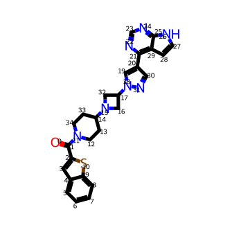 O=C(c1cc2ccccc2s1)N1CCC(N2CC(n3cc(-c4ncnc5[nH]ccc45)cn3)C2)CC1